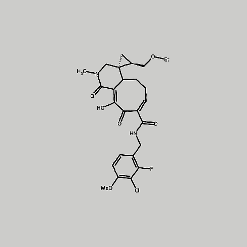 CCOC[C@@H]1C[C@]12CN(C)C(=O)/C1=C(\O)C(=O)/C(C(=O)NCc3ccc(OC)c(Cl)c3F)=C\CCC12